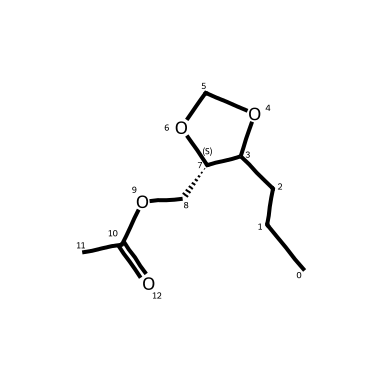 CCCC1OCO[C@H]1COC(C)=O